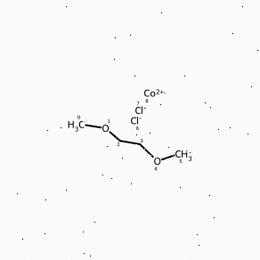 COCCOC.[Cl-].[Cl-].[Co+2]